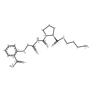 NCCCOC(=O)[C@@H]1CCCN1C(=O)NC(=O)COc1ccccc1C(N)=O